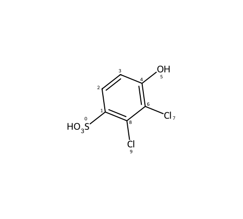 O=S(=O)(O)c1ccc(O)c(Cl)c1Cl